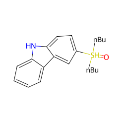 CCCC[SH](=O)(CCCC)c1ccc2[nH]c3ccccc3c2c1